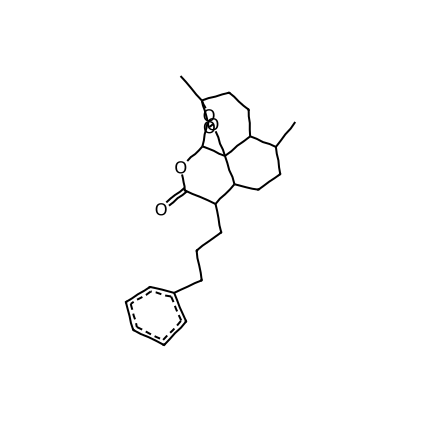 CC1CCC2C(CCCc3ccccc3)C(=O)OC3OC4(C)CCC1C32OO4